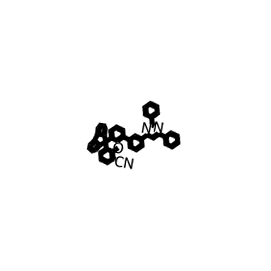 N#Cc1cccc2c1Oc1c(-c3cccc(-c4cc(-c5ccccc5)nc(-c5ccccc5)n4)c3)cccc1C21c2ccccc2-c2ccccc21